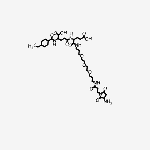 CCC1CCC(C(=O)NC(CCC(=O)NC(CCC(=O)O)C(=O)NCCCOCCOCCOCCCNC(=O)CCN2C(=O)CC(N)C2=O)C(=O)O)CC1